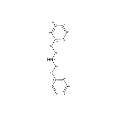 c1cncc(CCNCCc2cccnc2)c1